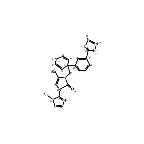 CCCCc1cn(-c2nnnn2C(C)CC)c(=O)n1CC1(c2cccc(-c3nnn[nH]3)c2)C=CNC=C1